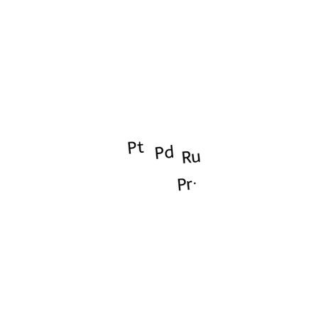 [Pd].[Pr].[Pt].[Ru]